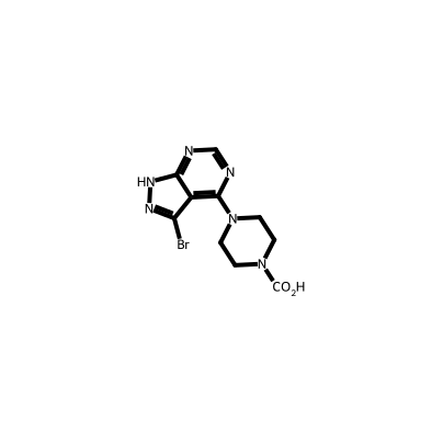 O=C(O)N1CCN(c2ncnc3[nH]nc(Br)c23)CC1